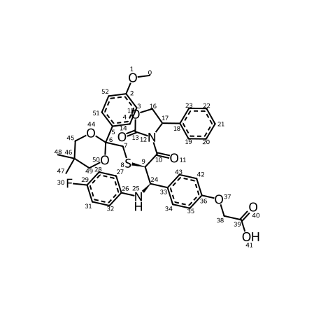 COc1ccc(C2(CS[C@@H](C(=O)N3C(=O)OCC3c3ccccc3)[C@H](Nc3ccc(F)cc3)c3ccc(OCC(=O)O)cc3)OCC(C)(C)CO2)cc1